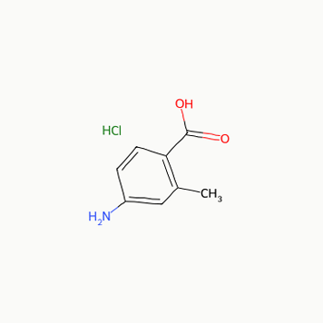 Cc1cc(N)ccc1C(=O)O.Cl